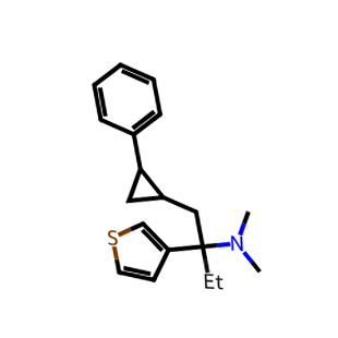 CCC(CC1CC1c1ccccc1)(c1ccsc1)N(C)C